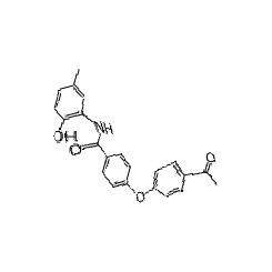 CC(=O)c1ccc(Oc2ccc(C(=O)Nc3cc(C)ccc3O)cc2)cc1